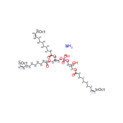 CCCCCCCC/C=C\CCCCCCCC(=O)OC[C@H](O)COP(=O)(O)OC[C@@H](COC(=O)CCCCCCC/C=C\CCCCCCCC)OC(=O)CCCCCCC/C=C\CCCCCCCC.N